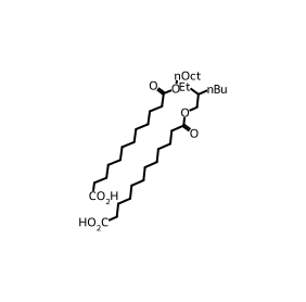 CCCCC(CC)COC(=O)CCCCCCCCCCC(=O)O.CCCCCCCCOC(=O)CCCCCCCCCCC(=O)O